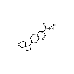 O=C(NO)c1cnc2c(c1)CCN([C@@H]1CC[C@]13CCOC3)C2